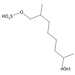 CCCCCCCCC(C)CCCCC(C)COS(=O)(=O)O